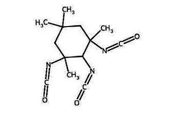 CC1(C)CC(C)(N=C=O)C(N=C=O)C(C)(N=C=O)C1